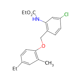 CCOC(=O)Nc1cc(Cl)ccc1COc1ccc(CC)cc1C